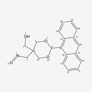 O=NCC1(CO)COC(c2c3ccccc3cc3ccccc23)OC1